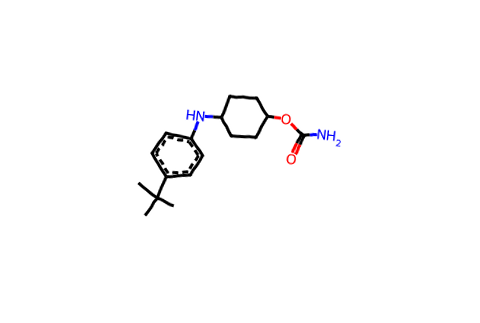 CC(C)(C)c1ccc(NC2CCC(OC(N)=O)CC2)cc1